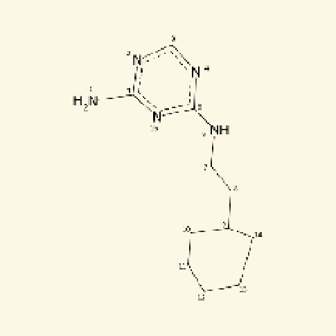 Nc1ncnc(NCCC2CCCCC2)n1